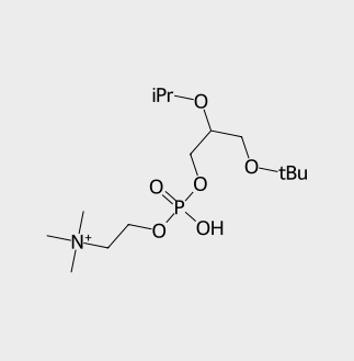 CC(C)OC(COC(C)(C)C)COP(=O)(O)OCC[N+](C)(C)C